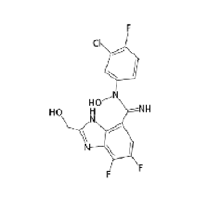 N=C(c1cc(F)c(F)c2nc(CO)[nH]c12)N(O)c1ccc(F)c(Cl)c1